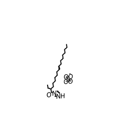 CCCCCCCCC=CCCCCCCC(CC)C(=O)[N+]1=CNCC1.COS(=O)(=O)[O-]